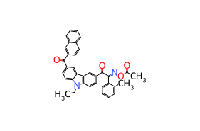 CCn1c2ccc(C(=O)/C(=N/OC(C)=O)c3ccccc3C)cc2c2cc(C(=O)c3ccc4ccccc4c3)ccc21